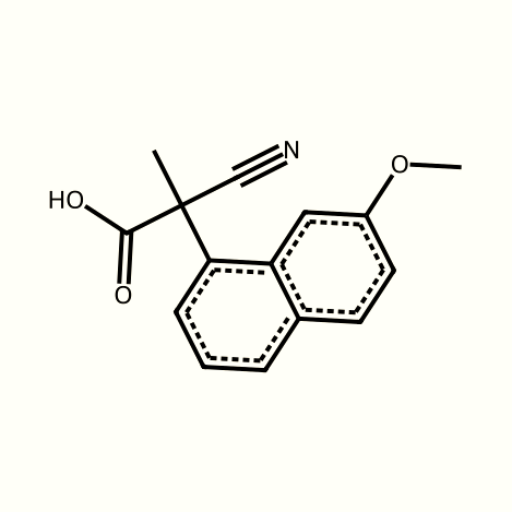 COc1ccc2cccc(C(C)(C#N)C(=O)O)c2c1